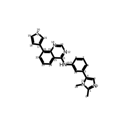 Cc1ncc(-c2cccc(Nc3ncnc4c(-c5ccsc5)cccc34)c2)n1C